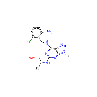 CCC(CO)Nc1nc(NCc2c(N)cccc2Cl)c2nnn(CC)c2n1